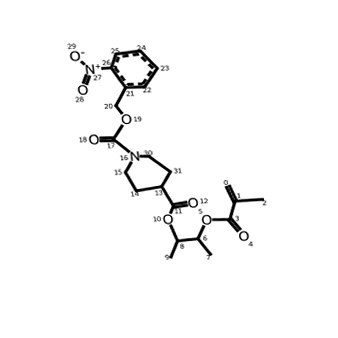 C=C(C)C(=O)OC(C)C(C)OC(=O)C1CCN(C(=O)OCc2ccccc2[N+](=O)[O-])CC1